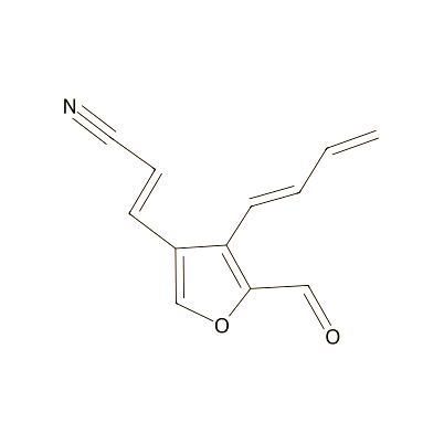 C=CC=Cc1c(C=CC#N)coc1C=O